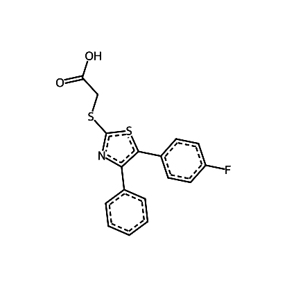 O=C(O)CSc1nc(-c2ccccc2)c(-c2ccc(F)cc2)s1